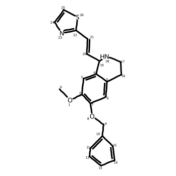 COc1cc2c(cc1OCc1ccccc1)CCNC2/C=C/c1nccs1